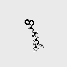 C[C@@H](CC(=O)NNC(=O)SCC(=O)N1CCCc2ccccc21)NC(=O)OC(C)(C)C